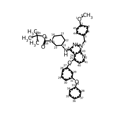 COc1ccc(Cn2nc(N[C@@H]3CCCN(C(=O)OC(C)(C)C)C3)c3c(Oc4cccc(Oc5ccccc5)c4)ccnc32)cc1